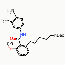 CCCCCCCCCCCCCCCc1cccc(OCCC)c1C(=O)Nc1ccc([N+](=O)[O-])c(C(F)(F)F)c1